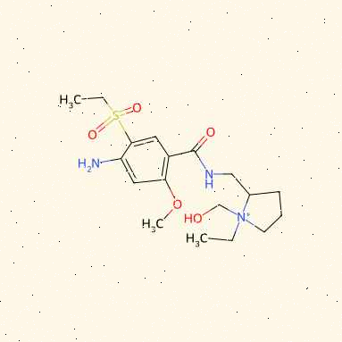 CC[N+]1(CO)CCCC1CNC(=O)c1cc(S(=O)(=O)CC)c(N)cc1OC